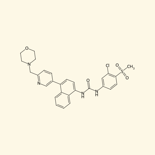 CS(=O)(=O)c1ccc(NC(=O)Nc2ccc(-c3ccc(CN4CCOCC4)nc3)c3ccccc23)cc1Cl